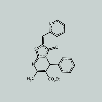 CCOC(=O)C1=C(C)N=c2sc(=Cc3ccccn3)c(=O)n2C1c1ccccc1